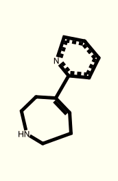 C1=C(c2ccccn2)CCNCC1